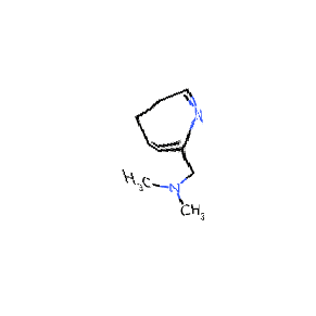 CN(C)CC1=CCCC=N1